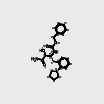 NC(=O)C(O)[C@@H](Cc1ccccc1N1CCCC1)NC(=O)OCc1ccccc1